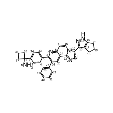 NC1(c2ccc(-c3nc4ccn5c(-c6n[nH]c7c6CCC7)nnc5c4cc3-c3ccccc3)cc2)CCC1